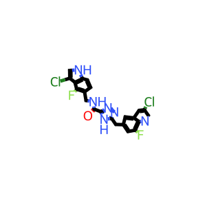 O=C(NCc1ccc2[nH]cc(Cl)c2c1F)c1nnc(Cc2cc(F)c3ncc(Cl)cc3c2)[nH]1